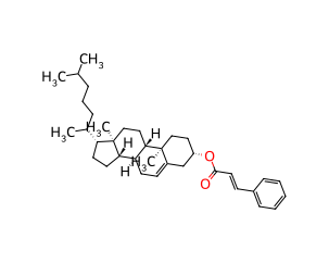 CC(C)CCCC(C)[C@H]1CC[C@H]2[C@@H]3CC=C4C[C@@H](OC(=O)/C=C/c5ccccc5)CC[C@]4(C)[C@H]3CC[C@]12C